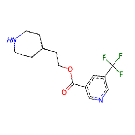 O=C(OCCC1CCNCC1)c1cncc(C(F)(F)F)c1